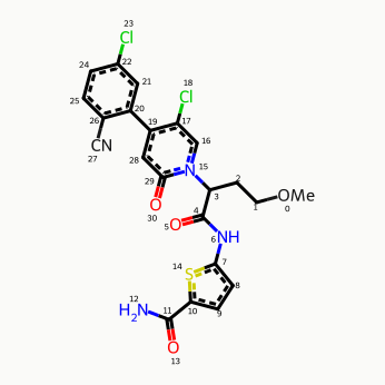 COCCC(C(=O)Nc1ccc(C(N)=O)s1)n1cc(Cl)c(-c2cc(Cl)ccc2C#N)cc1=O